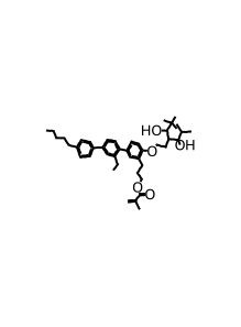 C=C(C)C(=O)OCCCc1cc(-c2ccc(-c3ccc(CCCCC)cc3)cc2CC)ccc1OCCC(C(O)C(C)C)C(O)C(C)(C)C